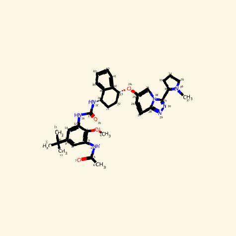 COc1c(NC(C)=O)cc(C(C)(C)C)cc1NC(=O)N[C@H]1CC[C@@H](Oc2ccc3nnc(C4CCCN4C)n3c2)c2ccccc21